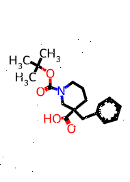 CC(C)(C)OC(=O)N1CCCC(Cc2ccccc2)(C(=O)O)C1